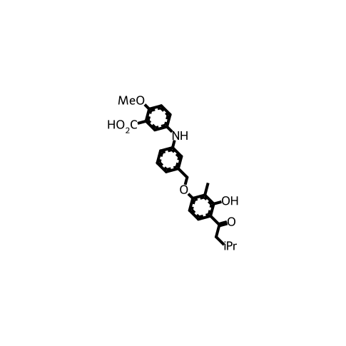 COc1ccc(Nc2cccc(COc3ccc(C(=O)CC(C)C)c(O)c3C)c2)cc1C(=O)O